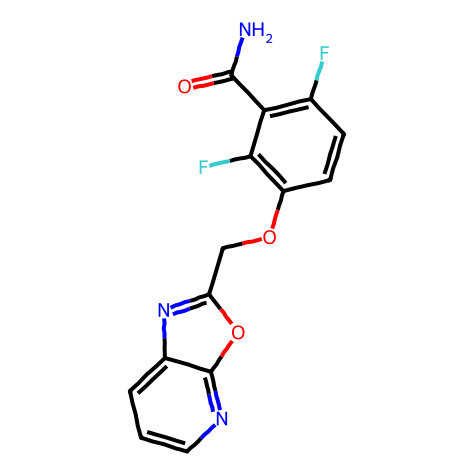 NC(=O)c1c(F)ccc(OCc2nc3cccnc3o2)c1F